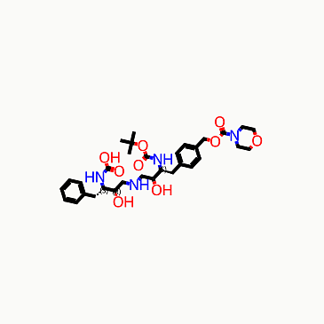 CC(C)(C)OC(=O)N[C@@H](Cc1ccc(COC(=O)N2CCOCC2)cc1)C(O)CNC[C@@H](O)[C@H](Cc1ccccc1)NC(=O)O